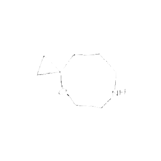 C1CNCCOC2(C1)CC2